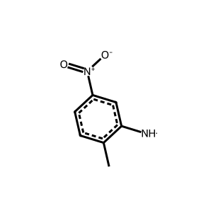 Cc1ccc([N+](=O)[O-])cc1[NH]